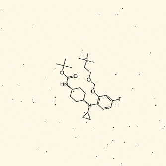 CC(C)(C)OC(=O)N[C@H]1CC[C@@H](N(c2ccc(F)cc2OCOCC[Si](C)(C)C)C2CC2)CC1